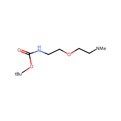 CNCCOCCNC(=O)OC(C)(C)C